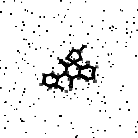 CN1CCC2(C1)C(=O)N(c1ccccc1F)C(=O)c1cncnc12